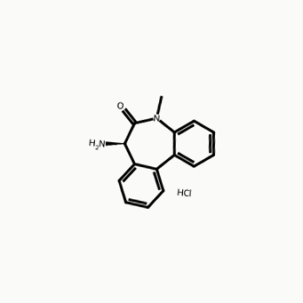 CN1C(=O)[C@H](N)c2ccccc2-c2ccccc21.Cl